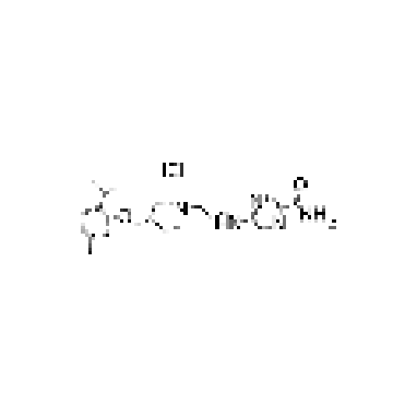 Cc1ccc(C(C)C)c(OCC2CCN(CCCNc3cnc(C(N)=O)cn3)CC2)c1.Cl